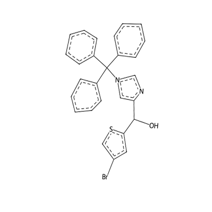 OC(c1cn(C(c2ccccc2)(c2ccccc2)c2ccccc2)cn1)c1cc(Br)cs1